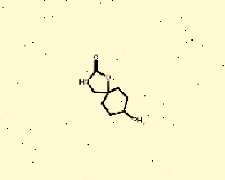 O=C1NCC2(CCC(P)CC2)O1